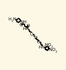 N[C@H]1CC[C@H](NC(=O)CCC(=O)NCCCOCCOCCOCCCNc2ccc([N+](=O)[O-])cc2[N+](=O)[O-])CC1